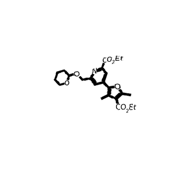 CCOC(=O)c1cc(-c2oc(C)c(C(=O)OCC)c2C)cc(COC2CCCCO2)n1